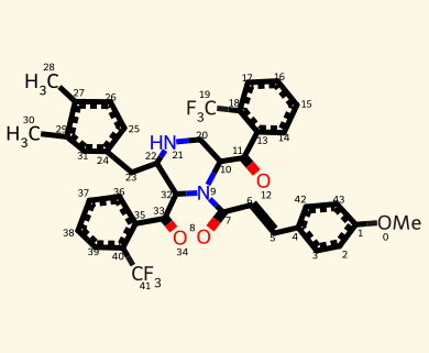 COc1ccc(/C=C/C(=O)N2C(C(=O)c3ccccc3C(F)(F)F)CNC(Cc3ccc(C)c(C)c3)C2C(=O)c2ccccc2C(F)(F)F)cc1